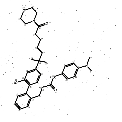 CN(C)c1ccc(NC(=O)NCc2ccccc2-c2ccc(C(C)(C)CCCCC(=O)N3CCOCC3)cc2O)cc1